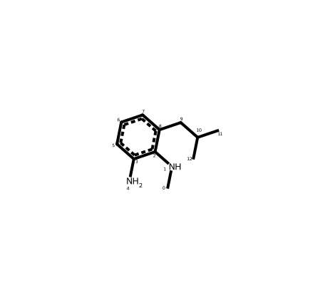 CNc1c(N)cccc1CC(C)C